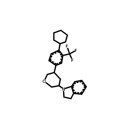 FC(F)(F)c1cc(C2COCC(N3CCc4ccccc43)C2)ccc1C1CCCCC1